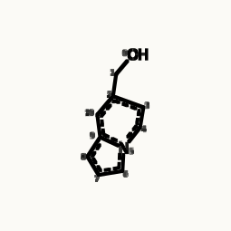 OCc1ccn2cccc2c1